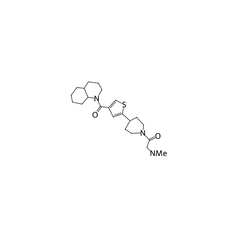 CNCC(=O)N1CCC(c2cc(C(=O)N3CCCC4CCCCC43)cs2)CC1